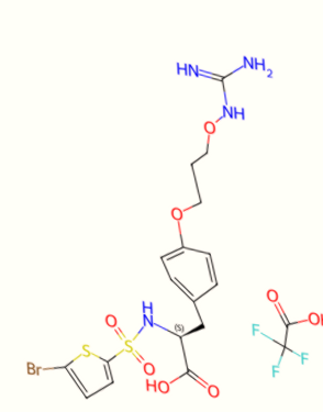 N=C(N)NOCCCOc1ccc(C[C@H](NS(=O)(=O)c2ccc(Br)s2)C(=O)O)cc1.O=C(O)C(F)(F)F